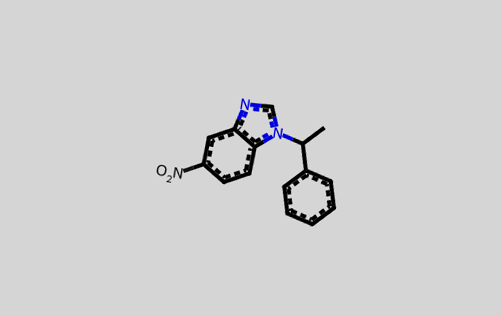 CC(c1ccccc1)n1cnc2cc([N+](=O)[O-])ccc21